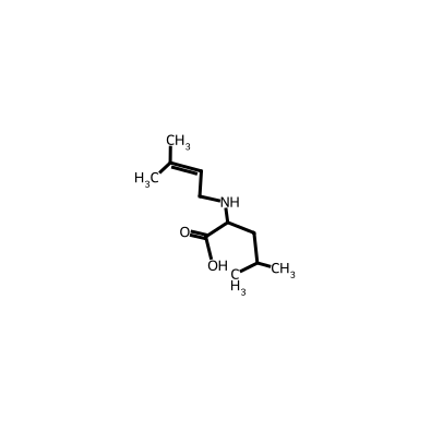 CC(C)=CCNC(CC(C)C)C(=O)O